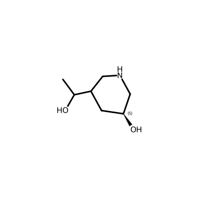 CC(O)C1CNC[C@@H](O)C1